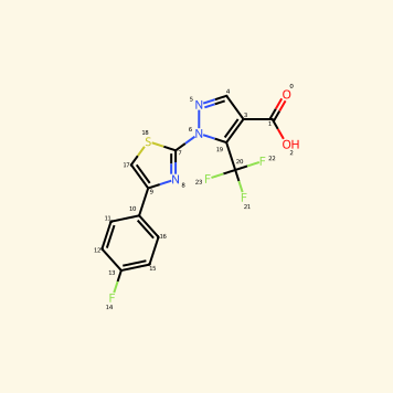 O=C(O)c1cnn(-c2nc(-c3ccc(F)cc3)cs2)c1C(F)(F)F